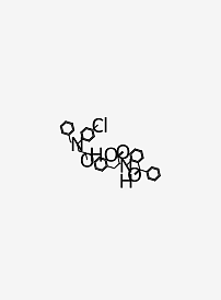 O=C(c1ccccc1)c1ccccc1NC(Cc1ccc(OCCN(Cc2ccccc2)c2ccc(Cl)cc2)cc1)C(=O)O